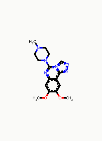 COc1cc2nc(N3CCN(C)CC3)n3cnnc3c2cc1OC